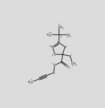 CC#CCOC(=O)C1(CC)CC(C(C)(C)C)=NO1